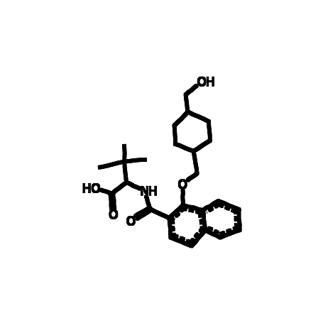 CC(C)(C)C(NC(=O)c1ccc2ccccc2c1OCC1CCC(CO)CC1)C(=O)O